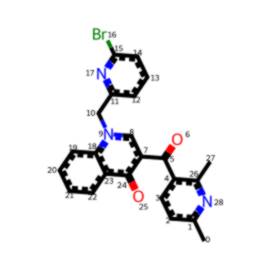 Cc1ccc(C(=O)c2cn(Cc3cccc(Br)n3)c3ccccc3c2=O)c(C)n1